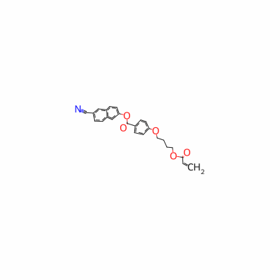 C=CC(=O)OCCCCOc1ccc(C(=O)Oc2ccc3cc(C#N)ccc3c2)cc1